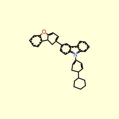 C1=CC(C2CCCCC2)CC=C1n1c2ccccc2c2cc(C3=CC=C4Oc5ccccc5C4C3)ccc21